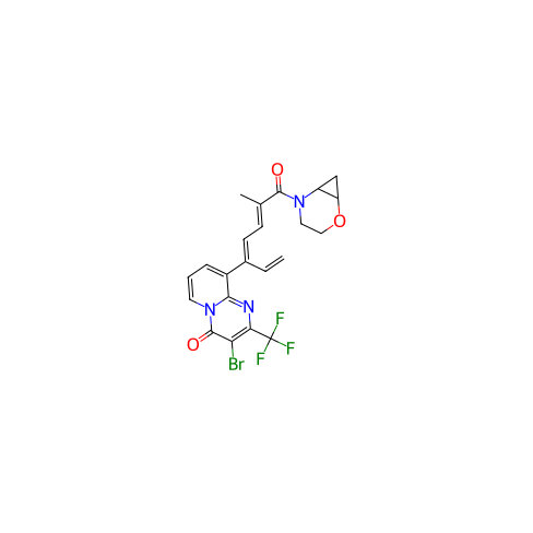 C=C/C(=C\C=C(/C)C(=O)N1CCOC2CC21)c1cccn2c(=O)c(Br)c(C(F)(F)F)nc12